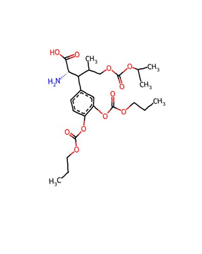 CCCOC(=O)Oc1ccc(C(C(C)COC(=O)OC(C)C)[C@H](N)C(=O)O)cc1OC(=O)OCCC